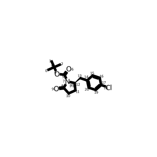 CC(C)(C)OC(=O)N1C(=O)CC[C@@H]1Cc1ccc(Cl)cc1